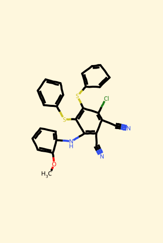 COc1ccccc1Nc1c(C#N)c(C#N)c(Cl)c(Sc2ccccc2)c1Sc1ccccc1